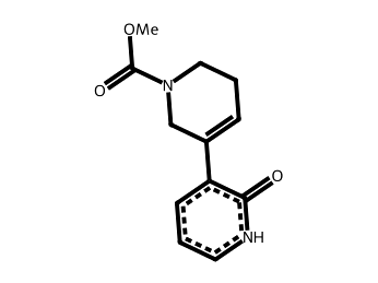 COC(=O)N1CCC=C(c2ccc[nH]c2=O)C1